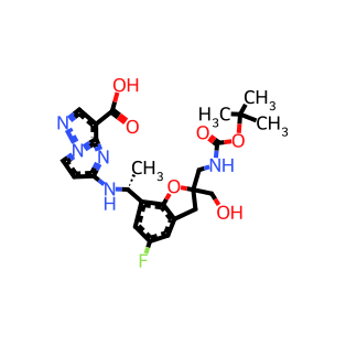 C[C@@H](Nc1ccn2ncc(C(=O)O)c2n1)c1cc(F)cc2c1OC(CO)(CNC(=O)OC(C)(C)C)C2